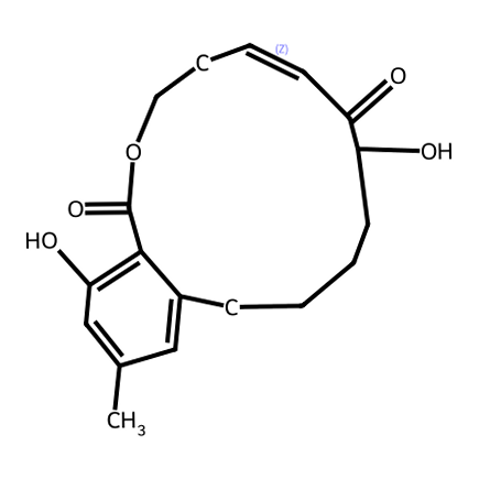 Cc1cc(O)c2c(c1)CCCCC(O)C(=O)/C=C\CCOC2=O